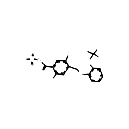 CS(=O)(=O)NC(=O)c1cc(F)c(COc2ccccc2OC(F)(F)F)cc1F